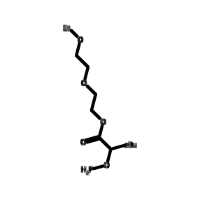 CCCCC(OP)C(=O)OCCOCCOCC